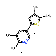 Cc1cc(-c2cc(C)c(C)s2)cnc1C